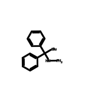 CC(C)(C)C(NP)(c1ccccc1)c1ccccc1